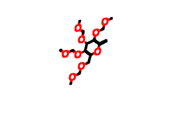 C=C1OC(COCOC)[C@@H](OCOC)[C@H](OCOC)C1OCOC